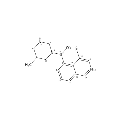 CC1CNCN([S+]([O-])c2cccc3cncc(F)c23)C1